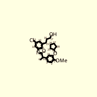 COc1ccc(C(C)c2nc3cc(Cl)cc(CCCO)c3o2)cc1OC1CCCC1